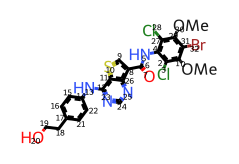 COc1c(Cl)c(NC(=O)c2csc3c(Nc4ccc(CCO)cc4)ncnc23)c(Cl)c(OC)c1Br